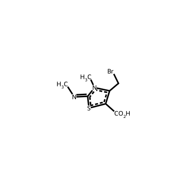 CN=c1sc(C(=O)O)c(CBr)n1C